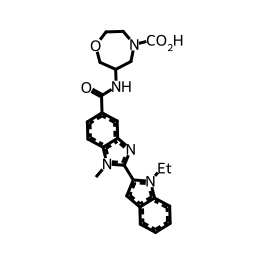 CCn1c(-c2nc3cc(C(=O)NC4COCCN(C(=O)O)C4)ccc3n2C)cc2ccccc21